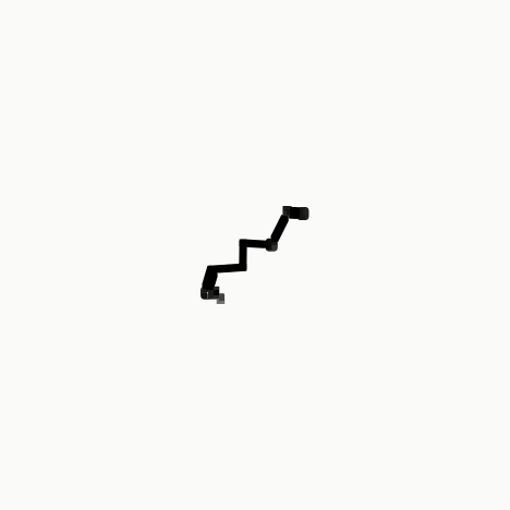 C=CCCOP=O